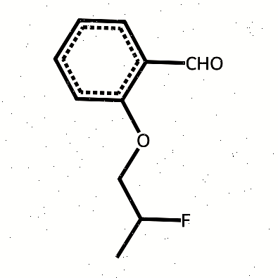 CC(F)COc1ccccc1C=O